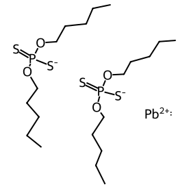 CCCCCOP(=S)([S-])OCCCCC.CCCCCOP(=S)([S-])OCCCCC.[Pb+2]